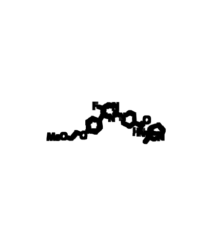 COCCOc1ccc(-c2nc(N3CCC(C(=O)NC4(C)CN5CCC4CC5)CC3)ncc2F)cc1